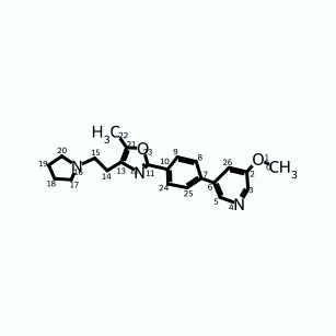 COc1cncc(-c2ccc(-c3nc(CCN4CCCC4)c(C)o3)cc2)c1